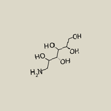 NCC(O)[C@@H](O)C(O)[C@H](O)CO